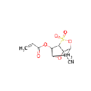 C=CC(=O)OC1C2OC3(C)C(OS(=O)(=O)C13)C2C#N